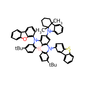 CC(C)(C)c1ccc2c(c1)N(c1ccc3sc4ccccc4c3c1)c1cc(N3c4ccccc4C4(C)CCCCC34C)cc3c1B2c1ccc(C(C)(C)C)cc1N3c1cccc2c1oc1ccccc12